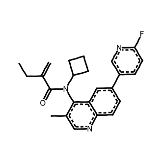 C=C(CC)C(=O)N(c1c(C)cnc2ccc(-c3ccc(F)nc3)cc12)C1CCC1